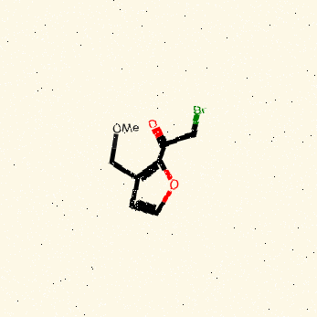 COCc1ccoc1C(=O)CBr